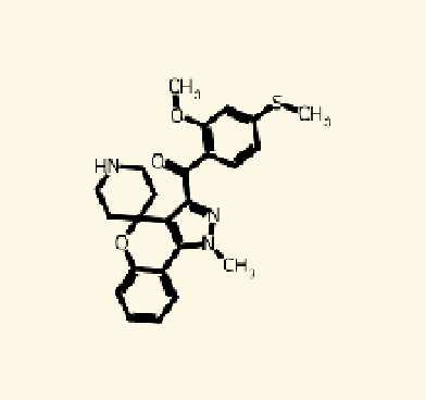 COc1cc(SC)ccc1C(=O)c1nn(C)c2c1C1(CCNCC1)Oc1ccccc1-2